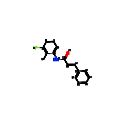 Cc1c(F)cccc1NC(=O)C=Cc1ccccc1